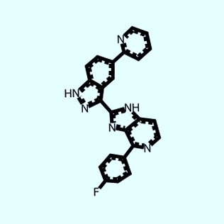 Fc1ccc(-c2nccc3[nH]c(-c4n[nH]c5ccc(-c6ccccn6)cc45)nc23)cc1